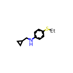 CCSc1ccc(NCC2CC2)cc1